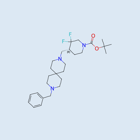 CC(C)(C)OC(=O)N1CC[C@H](CN2CCC3(CCN(Cc4ccccc4)CC3)CC2)C(F)(F)C1